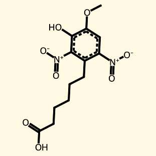 COc1cc([N+](=O)[O-])c(CCCCCC(=O)O)c([N+](=O)[O-])c1O